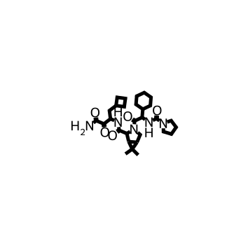 CC1(C)C2CN(C(=O)C(NC(=O)N3CCCC3)C3CCCCC3)C(C(=O)NC(CC3CCC3)C(=O)C(N)=O)C21